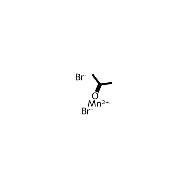 CC(C)=O.[Br-].[Br-].[Mn+2]